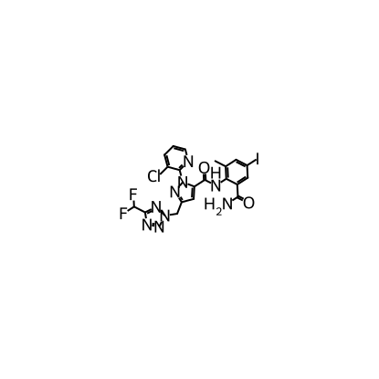 Cc1cc(I)cc(C(N)=O)c1NC(=O)c1cc(Cn2nnc(C(F)F)n2)nn1-c1ncccc1Cl